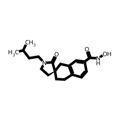 CC(C)CCN1CC[C@@]2(CCc3ccc(C(=O)NO)cc3C2)C1=O